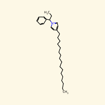 CCCCCCCCCCCCCCCCCc1cc[n+](C(CC)c2ccccc2)cc1